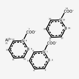 O=C([O-])[si]1bcccc1.O=C([O-])[si]1bcccc1.O=C([O-])[si]1bcccc1.[Al+3]